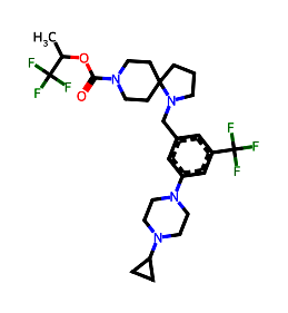 CC(OC(=O)N1CCC2(CCCN2Cc2cc(N3CCN(C4CC4)CC3)cc(C(F)(F)F)c2)CC1)C(F)(F)F